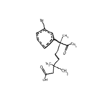 CC(=O)C(C)(CCC(C)(C)CC(=O)O)c1cccc(Br)c1